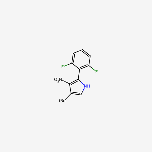 CC(C)(C)c1c[nH]c(-c2c(F)cccc2F)c1[N+](=O)[O-]